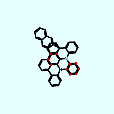 c1ccc(-c2ccccc2N(c2ccccc2)c2ccc3c(oc4cc5ccccc5cc43)c2N(c2ccccc2)c2ccccc2-c2ccccc2)cc1